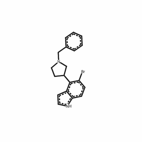 Brc1ccc2[nH]ccc2c1C1CCN(Cc2ccccc2)C1